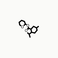 CC1CCC(C(C)C)C(C(=O)OC2CCCCO2)C1